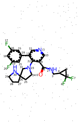 O=C(NCC1CC1(F)F)c1cncc(-c2cc(F)cc(F)c2)c1N1CCC2(CCCN2)C1